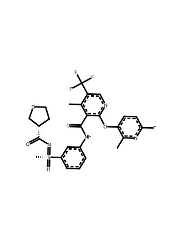 Cc1nc(F)ccc1Oc1ncc(C(F)(F)F)c(C)c1C(=O)Nc1cccc([S@@](C)(=O)=NC(=O)[C@H]2CCOC2)c1